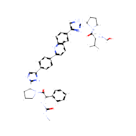 CNC(=O)N[C@@H](C(=O)N1CCC[C@H]1c1ncc(-c2ccc(-c3ccc4cc(-c5c[nH]c([C@@H]6CCCN6C(=O)[C@@H](NC=O)C(C)C)n5)ccc4n3)cc2)[nH]1)c1ccccc1